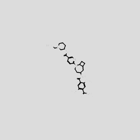 CCN1CCC[C@H](NC(=O)c2ccc(N3CCC(NC(=O)c4cc(C)c(C(N)=O)cc4C)CC4CCC43)nc2)C1